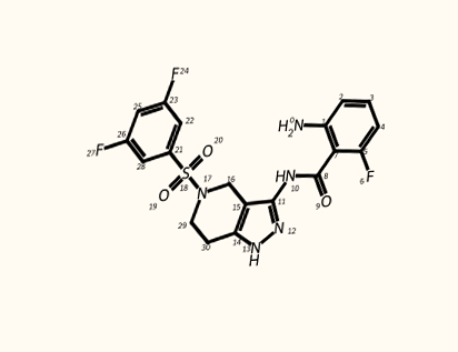 Nc1cccc(F)c1C(=O)Nc1n[nH]c2c1CN(S(=O)(=O)c1cc(F)cc(F)c1)CC2